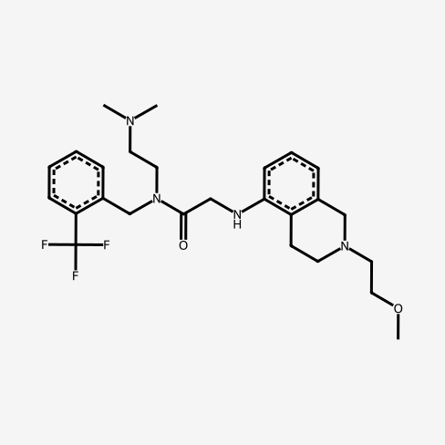 COCCN1CCc2c(cccc2NCC(=O)N(CCN(C)C)Cc2ccccc2C(F)(F)F)C1